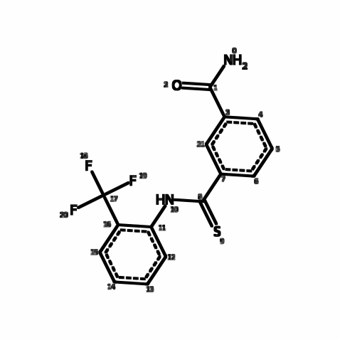 NC(=O)c1cccc(C(=S)Nc2ccccc2C(F)(F)F)c1